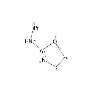 CC(C)NC1=NCCO1